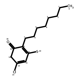 CCCCCCCCC1=C([S])C=C(Cl)CC1=O